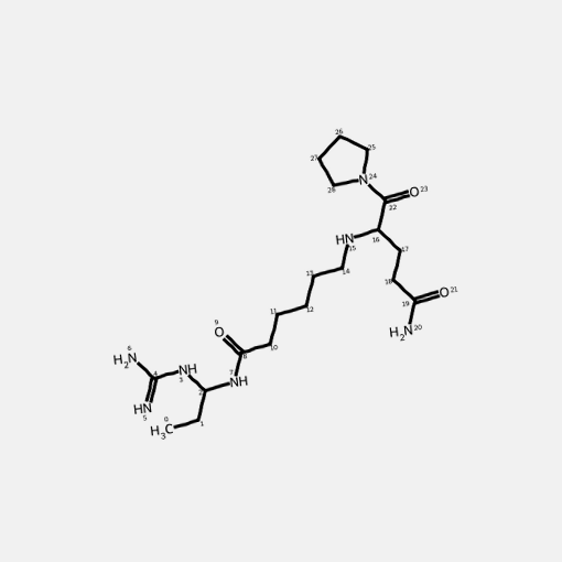 CCC(NC(=N)N)NC(=O)CCCCCNC(CCC(N)=O)C(=O)N1CCCC1